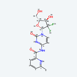 Cc1cccc(C(=O)Nc2ccn([C@@H]3O[C@H](CO)[C@@H](O)C3(F)F)c(=O)n2)n1